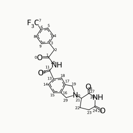 O=C(Cc1ccc(C(F)(F)F)cc1)NC(=O)c1ccc2c(c1)CN(C1CCC(=O)NC1=O)C2